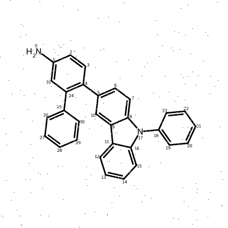 Nc1ccc(-c2ccc3c(c2)c2ccccc2n3-c2ccccc2)c(-c2ccccc2)c1